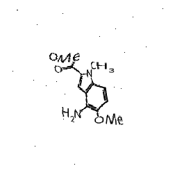 COC(=O)c1cc2c(N)c(OC)ccc2n1C